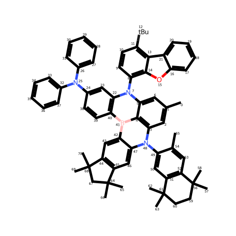 Cc1cc2c3c(c1)N(c1ccc(C(C)(C)C)c4c1oc1ccccc14)c1cc(N(c4ccccc4)c4ccccc4)ccc1B3c1cc3c(cc1N2c1cc2c(cc1C)C(C)(C)CCC2(C)C)C(C)(C)CC3(C)C